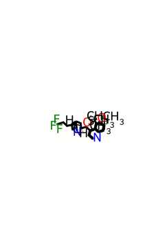 COc1ccc2nccc(C(O[Si](C)(C)C)[C@@H]3CC4CCN3C[C@@H]4CCC(F)(F)F)c2c1